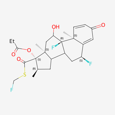 CCC(=O)O[C@@]1(C(=O)SCF)[C@H](C)CC2C3C[C@H](F)C4=CC(=O)C=C[C@]4(C)[C@@]3(F)C(O)C[C@@]21C